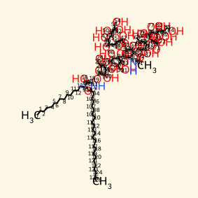 CCCCCCCCCCCCC/C=C/[C@@H](O)[C@H](CO[C@@H]1OC(CO)[C@@H](O[C@@H]2OC(CO)[C@H](O[C@@H]3OC(CO[C@]4(C(=O)O)CC(O)[C@@H](O)C([C@H](O)[C@H](O)CO)O4)[C@H](O)[C@H](O[C@@H]4OC(CO)[C@H](O)[C@H](O[C@]5(C(=O)O)CC(O)[C@@H](O)C([C@H](O)[C@H](O)CO)O5)C4O)C3NC(C)=O)[C@H](O)C2O)[C@H](O)C1O)NC(=O)CCCCCCCCCCCCCCCCCCCCCCC